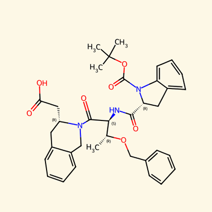 C[C@@H](OCc1ccccc1)[C@H](NC(=O)[C@H]1Cc2ccccc2N1C(=O)OC(C)(C)C)C(=O)N1Cc2ccccc2C[C@@H]1CC(=O)O